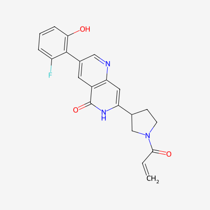 C=CC(=O)N1CCC(c2cc3ncc(-c4c(O)cccc4F)cc3c(=O)[nH]2)C1